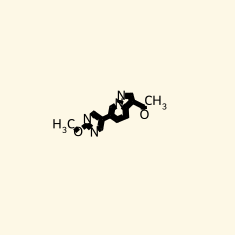 COc1ncc(-c2ccc3c(C(C)=O)cnn3c2)cn1